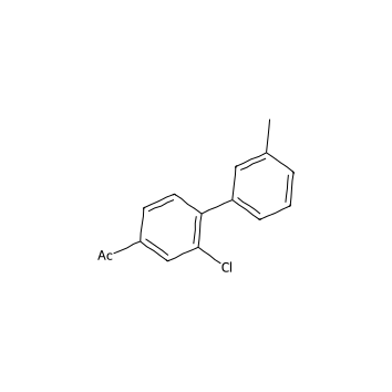 CC(=O)c1ccc(-c2cccc(C)c2)c(Cl)c1